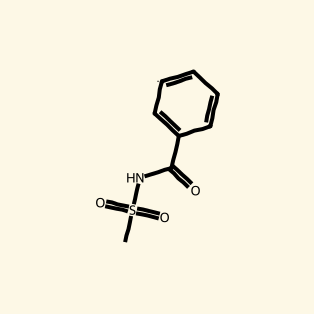 CS(=O)(=O)NC(=O)c1c[c]ccc1